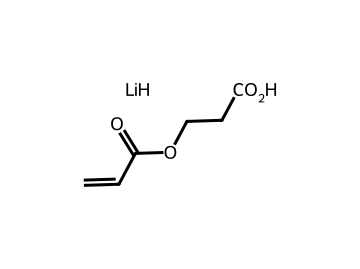 C=CC(=O)OCCC(=O)O.[LiH]